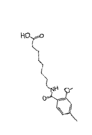 COc1cc(C)ccc1C(=O)NCCCCCCCC(=O)O